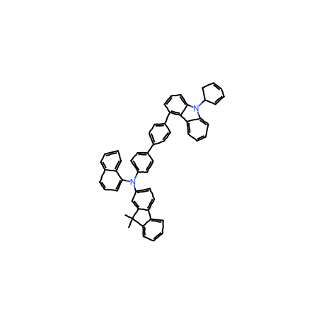 CC1(C)c2ccccc2-c2ccc(N(c3ccc(-c4ccc(-c5cccc6c5c5ccccc5n6C5C=CC=CC5)cc4)cc3)c3cccc4ccccc34)cc21